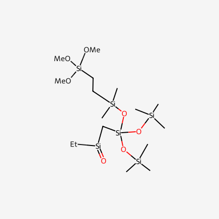 CC[Si](=O)C[Si](O[Si](C)(C)C)(O[Si](C)(C)C)O[Si](C)(C)CC[Si](OC)(OC)OC